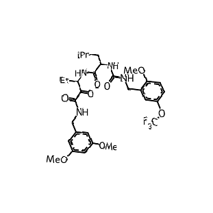 CCC(NC(=O)C(CC(C)C)NC(=O)NCc1cc(OC(F)(F)F)ccc1OC)C(=O)C(=O)NCc1cc(OC)cc(OC)c1